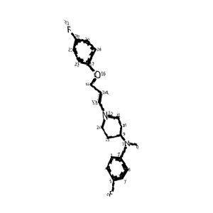 CN(c1ccc(F)cc1)C1CCN(CCCOc2ccc(F)cc2)CC1